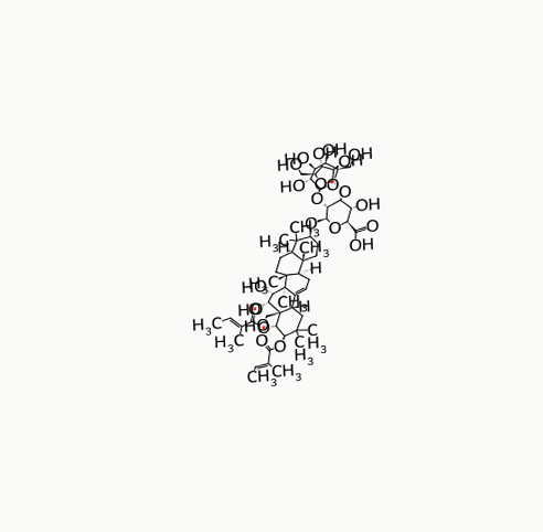 C/C=C(\C)C(=O)O[C@H]1[C@H](OC(=O)/C(C)=C/C)[C@]2(CO)[C@H](O)[C@H](O)[C@]3(C)C(=CC[C@@H]4[C@@]5(C)CC[C@H](O[C@@H]6O[C@H](C(=O)O)[C@@H](O)[C@H](O[C@@H]7O[C@@H](CO)[C@H](O)[C@H]7O)[C@H]6O[C@@H]6O[C@H](CO)[C@H](O)[C@H](O)[C@H]6O)C(C)(C)[C@@H]5CC[C@]43C)[C@@H]2CC1(C)C